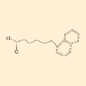 ClC(Cl)CCCCCc1cccc2ccccc12